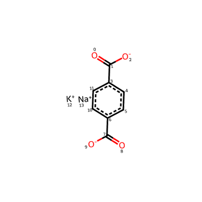 O=C([O-])c1ccc(C(=O)[O-])cc1.[K+].[Na+]